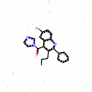 CCCc1c(-c2ccccc2)nc2ccc(Br)cc2c1C(=O)n1ccnc1